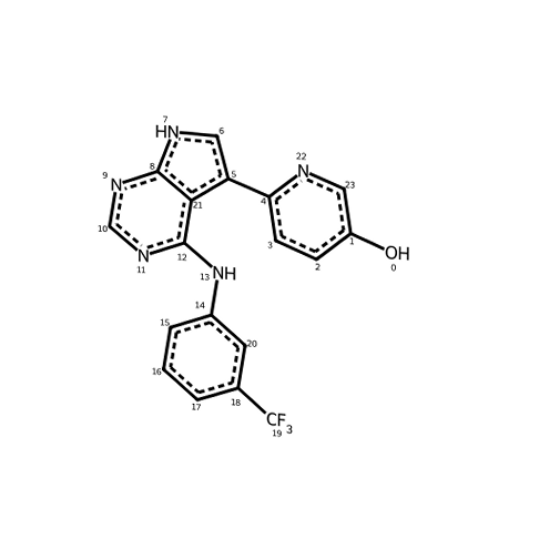 Oc1ccc(-c2c[nH]c3ncnc(Nc4cccc(C(F)(F)F)c4)c23)nc1